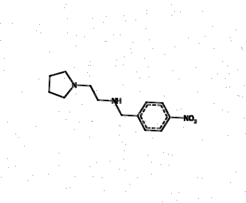 O=[N+]([O-])c1ccc(CNCCN2CCCC2)cc1